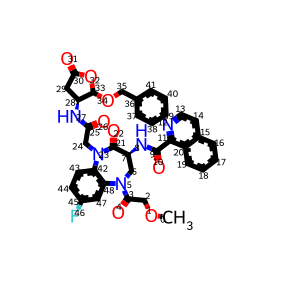 COCC(=O)N1C[C@H](NC(=O)c2nccc3ccccc23)C(=O)N(CC(=O)N[C@H]2CC(=O)OC2OCc2ccccc2)c2ccc(F)cc21